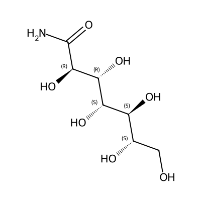 NC(=O)[C@H](O)[C@H](O)[C@@H](O)[C@@H](O)[C@@H](O)CO